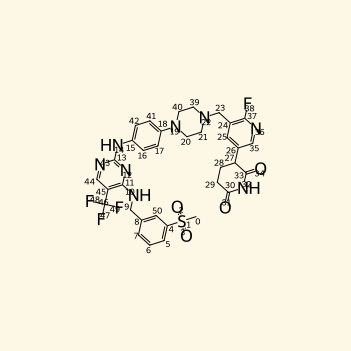 CS(=O)(=O)c1cccc(CNc2nc(Nc3ccc(N4CCN(Cc5cc(C6CCC(=O)NC6=O)cnc5F)CC4)cc3)ncc2C(F)(F)F)c1